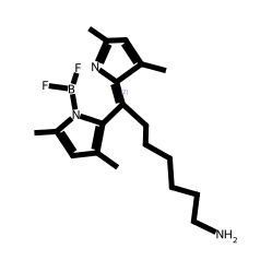 CC1=CC(C)=N/C1=C(/CCCCCCN)c1c(C)cc(C)n1B(F)F